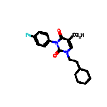 O=C(O)c1cn(CCC2CCCCC2)c(=O)n(-c2ccc(F)cc2)c1=O